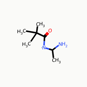 CC(N)[N]C(=O)C(C)(C)C